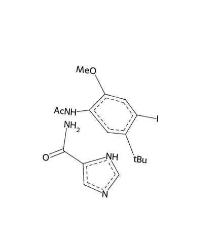 COc1cc(I)c(C(C)(C)C)cc1NC(C)=O.NC(=O)c1cnc[nH]1